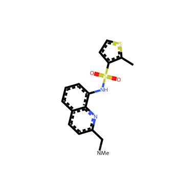 CNCc1ccc2cccc(NS(=O)(=O)c3ccsc3C)c2n1